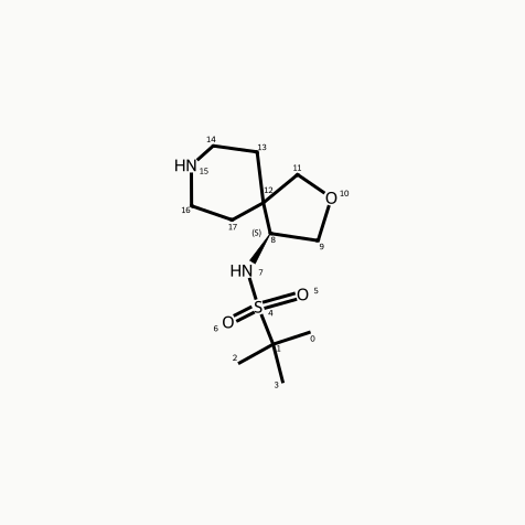 CC(C)(C)S(=O)(=O)N[C@@H]1COCC12CCNCC2